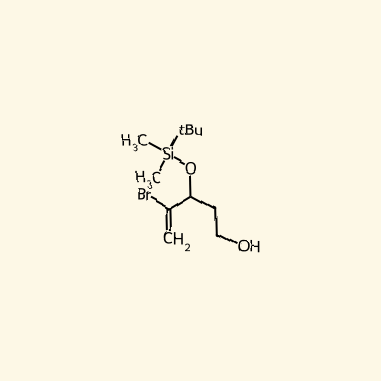 C=C(Br)C(CCO)O[Si](C)(C)C(C)(C)C